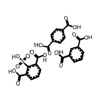 O=C(O)c1ccc(C(=O)O)cc1.O=C(O)c1cccc(C(=O)O)c1.O=C(O)c1cccc(C(=O)O)c1S(=O)(=O)O